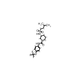 CC(C)CCS(=O)(=O)N[C@@H]1CCCN(C(=O)Nc2ccc(OC(F)(F)F)cc2)C1